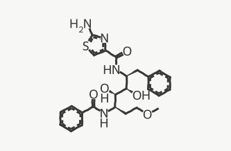 COCC[C@@H](NC(=O)c1ccccc1)[C@@H](O)[C@H](O)[C@H](Cc1ccccc1)NC(=O)c1csc(N)n1